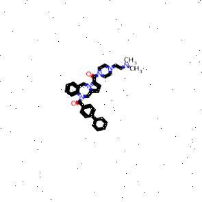 CN(C)CCN1CCN(C(=O)c2ccc3n2Cc2ccccc2N(C(=O)c2ccc(C4CCCCC4)cc2)C3)CC1